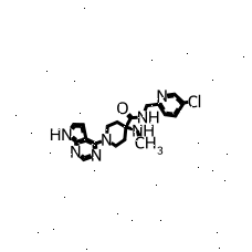 CNC1(C(=O)NCc2ccc(Cl)cn2)CCN(c2ncnc3[nH]ccc23)CC1